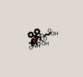 COC1(C(c2ccccc2)(c2ccccc2)c2ccccc2)[C@H](OC(=O)CCC(=O)O)[C@@H](CO)O[C@@]1(OC)n1cc(C)c(=O)[nH]c1=O